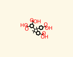 CC1(C)c2ccc(C(=O)O)cc2C(C)(c2ccc(C(=O)O)cc2)C1c1cc(C(=O)O)cc(C(=O)O)c1